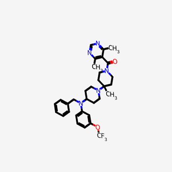 Cc1ncnc(C)c1C(=O)N1CCC(C)(N2CCC(N(Cc3ccccc3)c3cccc(OC(F)(F)F)c3)CC2)CC1